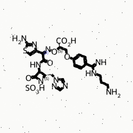 N=C(NCCCN)c1ccc(OC[C@H](O/N=C(\C(=O)NC2C(=O)N(S(=O)(=O)O)[C@H]2Cn2cncn2)c2csc(N)n2)C(=O)O)cc1